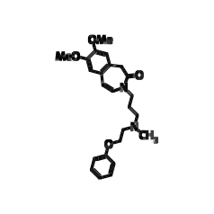 COc1cc2c(cc1OC)CC(=O)N(CCCN(C)CCOc1ccccc1)C=C2